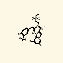 CCS(=O)(=O)CCN(C(=O)Cc1ccc(F)c(C(F)(F)F)c1)[C@H](C)c1cn2cc(F)cc(F)c2n1